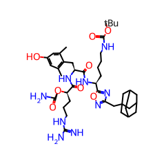 Cc1cc(O)cc(C)c1C[C@H](NC(=O)[C@@H](CCCNC(=N)N)OC(N)=O)C(=O)N[C@@H](CCCCNC(=O)OC(C)(C)C)c1nc(CC23CC4CC(CC(C4)C2)C3)no1